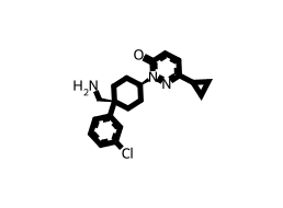 NC[C@]1(c2cccc(Cl)c2)CC[C@H](n2nc(C3CC3)ccc2=O)CC1